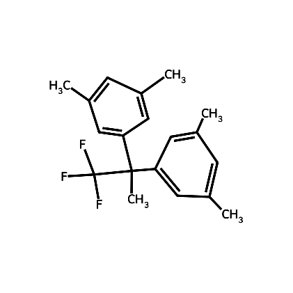 Cc1cc(C)cc(C(C)(c2cc(C)cc(C)c2)C(F)(F)F)c1